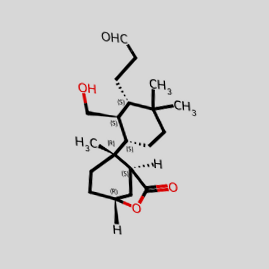 CC1(C)CC[C@H]([C@@]2(C)CC[C@@H]3C[C@@H]2C(=O)O3)[C@@H](CO)[C@@H]1CCC=O